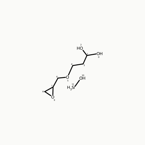 OC(O)CCOCC1CO1.O[SiH3]